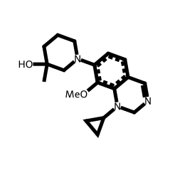 COc1c(N2CCCC(C)(O)C2)ccc2c1N(C1CC1)CN=C2